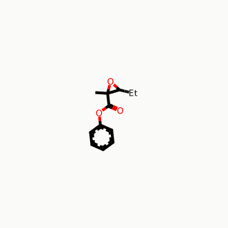 CCC1OC1(C)C(=O)Oc1ccccc1